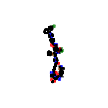 CC(=O)OC1CC(C(=O)N[C@@H](C)c2ccc(-c3scnc3C)cc2)N(C(=O)C(NC(=O)CCCCCC(=O)N2CCN(CCC(CSc3ccccc3)Nc3ccc(S(=O)(=O)NC(=O)c4ccc(N5CCN(CC6=C(c7ccc(Cl)cc7)CCCCC6)CC5)cc4)cc3S(=O)(=O)C(F)(F)F)CC2)C(C)(C)C)C1